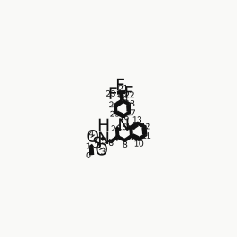 C=CS(=O)(=O)NCC1Cc2ccccc2N(c2ccc(C(F)(F)F)cc2)C1